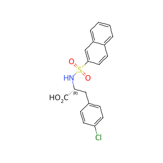 O=C(O)[C@@H](Cc1ccc(Cl)cc1)NS(=O)(=O)c1ccc2ccccc2c1